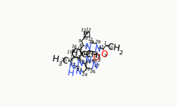 C=CC(=O)N1CCN(C(CC23CC(C2)C3)c2ccc([C@H](C)Nc3ncc4cnc(=O)n(C(C)C)c4n3)cc2)CC1